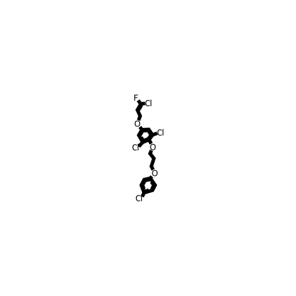 F/C(Cl)=C/COc1cc(Cl)c(OCCCOc2ccc(Cl)cc2)c(Cl)c1